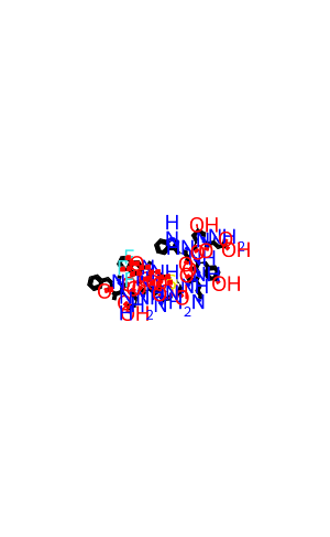 CCCC[C@@H](C(=O)N1C[C@H](O)C[C@@H]1C(=O)N[C@@H](CC(=O)O)C(=O)N[C@H](C(=O)N(C)C(C=O)Cc1ccccc1)C(C)C)N(C)C(=O)[C@H](Cc1ccccc1)N(C)C(=O)[C@H](Cc1cc(F)c(F)c(F)c1)NC(=O)CSC[C@H](NC(=O)[C@H](CCCN)NC(=O)[C@H](Cc1ccc(O)cc1)NC(=O)[C@H](Cc1c[nH]c2ccccc12)NC(=O)[C@H]1C[C@@H](O)CN1C(=O)[C@@H](N)CC(=O)O)C(=O)NCC(N)=O